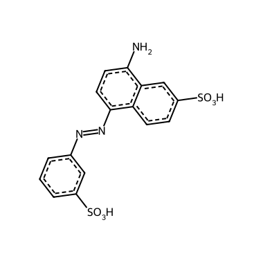 Nc1ccc(/N=N/c2cccc(S(=O)(=O)O)c2)c2ccc(S(=O)(=O)O)cc12